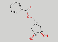 O=C(OC[C@@H]1C[C@@H](O)[C@@H](O)C1)c1ccccc1